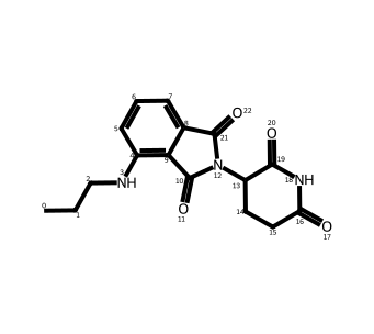 CCCNc1cccc2c1C(=O)N(C1CCC(=O)NC1=O)C2=O